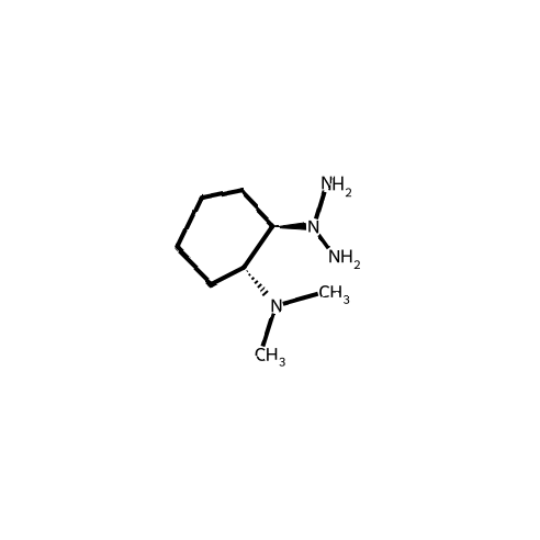 CN(C)[C@@H]1CCCC[C@H]1N(N)N